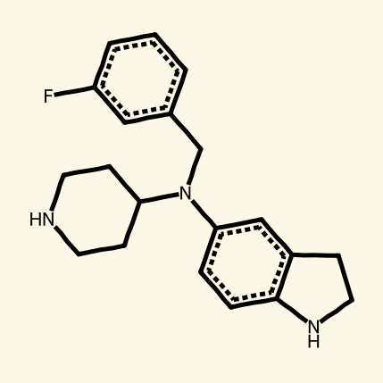 Fc1cccc(CN(c2ccc3c(c2)CCN3)C2CCNCC2)c1